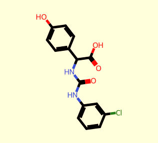 O=C(Nc1cccc(Cl)c1)NC(C(=O)O)c1ccc(O)cc1